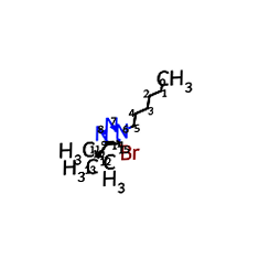 CCCCCCn1nnc(C(C)(C)C)c1Br